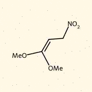 COC(=CC[N+](=O)[O-])OC